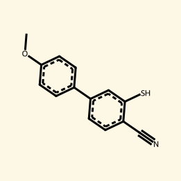 COc1ccc(-c2ccc(C#N)c(S)c2)cc1